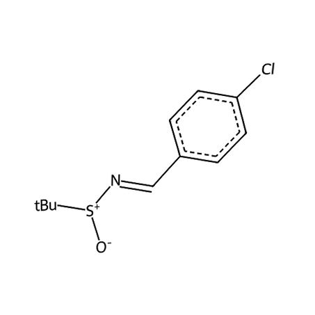 CC(C)(C)[S+]([O-])N=Cc1ccc(Cl)cc1